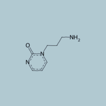 NCCCn1cccnc1=O